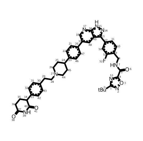 CC(C)(C)c1noc(C(=O)NCc2ccc(-c3n[nH]c4ncc(-c5ccc(C6CCN(CCc7ccc(C8CCC(=O)NC8=O)cc7)CC6)cc5)cc34)cc2F)n1